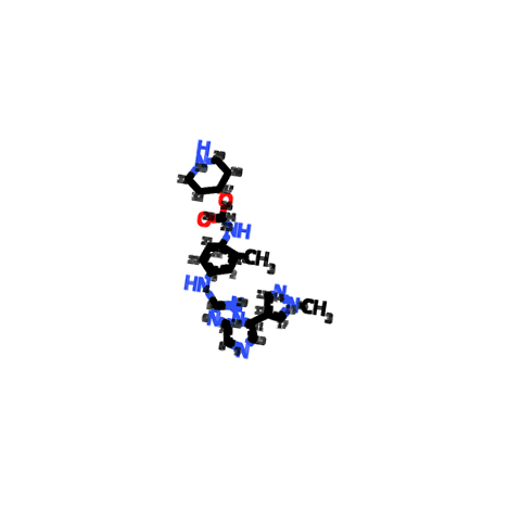 Cc1cc(Nc2nc3cncc(-c4cnn(C)c4)n3n2)ccc1NC(=O)OC1CCNCC1